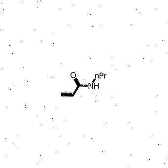 [CH2]CCNC(=O)C=C